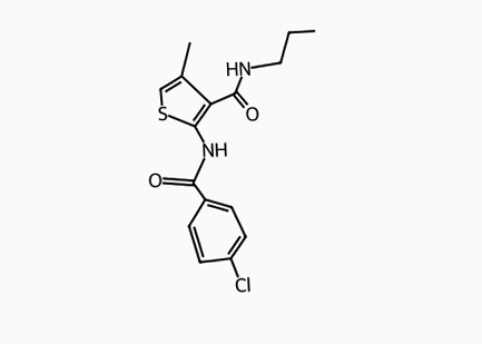 CCCNC(=O)c1c(C)csc1NC(=O)c1ccc(Cl)cc1